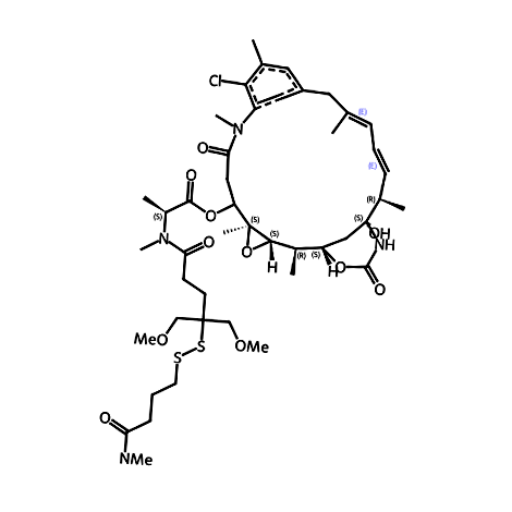 CNC(=O)CCCSSC(CCC(=O)N(C)[C@@H](C)C(=O)OC1CC(=O)N(C)c2cc(cc(C)c2Cl)C/C(C)=C/C=C/[C@@H](C)[C@@]2(O)C[C@H](OC(=O)N2)[C@@H](C)[C@@H]2O[C@@]12C)(COC)COC